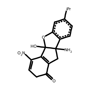 CC(C)c1ccc2c(c1)OC1(O)C3=C(CC21N)C(=O)CC=C3[N+](=O)[O-]